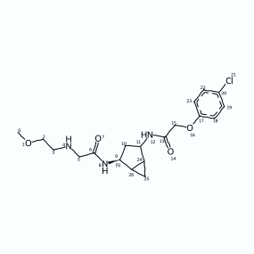 COCCNCC(=O)N[C@H]1CC(NC(=O)COc2ccc(Cl)cc2)C2CC21